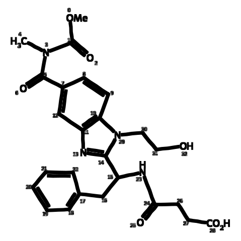 COC(=O)N(C)C(=O)c1ccc2c(c1)nc(C(Cc1ccccc1)NC(=O)CCC(=O)O)n2CCO